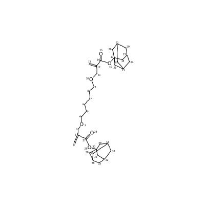 C=C(COCCCCCCOCC(=C)C(=O)OC12CC3CC(CC(C3)C1)C2)C(=O)OC12CC3CC(CC(C3)C1)C2